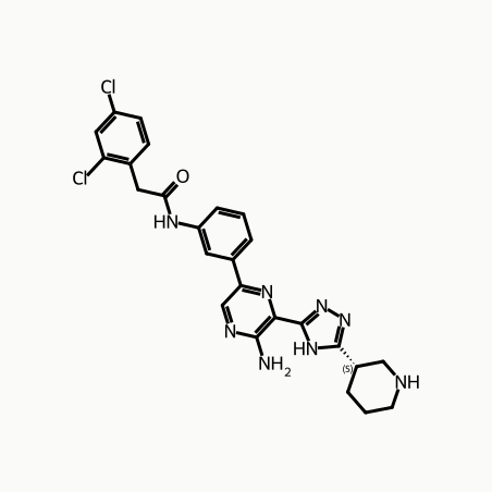 Nc1ncc(-c2cccc(NC(=O)Cc3ccc(Cl)cc3Cl)c2)nc1-c1nnc([C@H]2CCCNC2)[nH]1